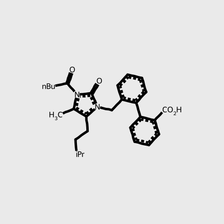 CCCCC(=O)n1c(C)c(CCC(C)C)n(Cc2ccccc2-c2ccccc2C(=O)O)c1=O